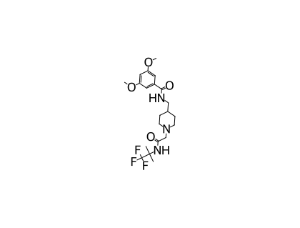 COc1cc(OC)cc(C(=O)NCC2CCN(CC(=O)NC(C)(C)C(F)(F)F)CC2)c1